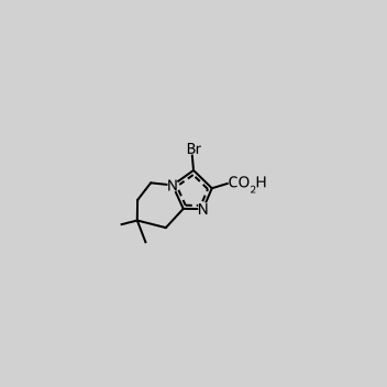 CC1(C)CCn2c(nc(C(=O)O)c2Br)C1